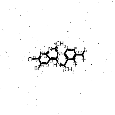 Cc1nc(NC(C)c2cccc(C(F)F)c2F)c2cc(Br)c(Cl)nc2n1